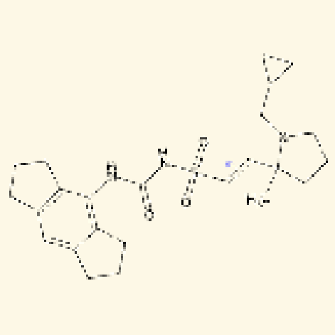 CC1(/C=C/S(=O)(=O)NC(=O)Nc2c3c(cc4c2CCC4)CCC3)CCCN1CC1CC1